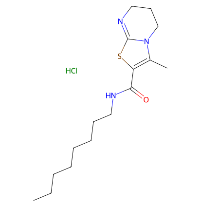 CCCCCCCCNC(=O)C1=C(C)N2CCCN=C2S1.Cl